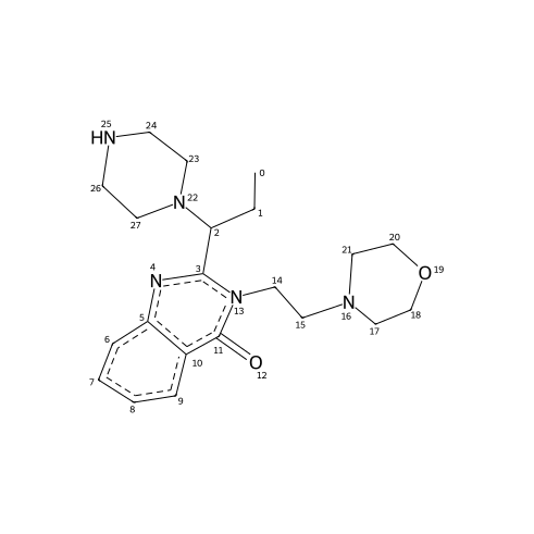 CCC(c1nc2ccccc2c(=O)n1CCN1CCOCC1)N1CCNCC1